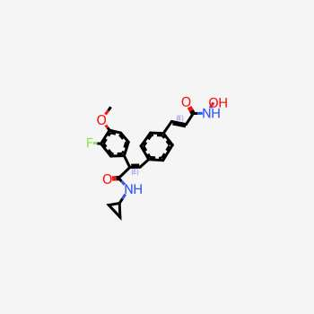 COc1ccc(/C(=C\c2ccc(/C=C/C(=O)NO)cc2)C(=O)NC2CC2)cc1F